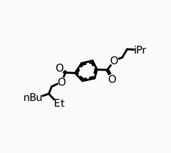 CCCCC(CC)COC(=O)c1ccc(C(=O)OCCC(C)C)cc1